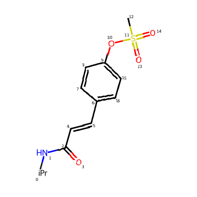 CC(C)NC(=O)C=Cc1ccc(OS(C)(=O)=O)cc1